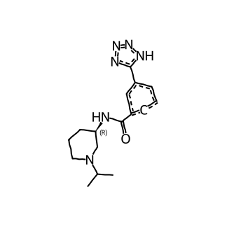 CC(C)N1CCC[C@@H](NC(=O)c2cccc(-c3nnn[nH]3)c2)C1